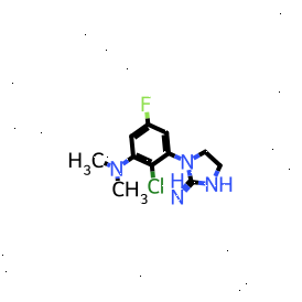 CN(C)c1cc(F)cc(N2CCNC2=N)c1Cl